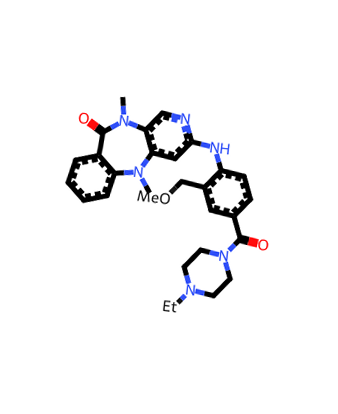 CCN1CCN(C(=O)c2ccc(Nc3cc4c(cn3)N(C)C(=O)c3ccccc3N4C)c(COC)c2)CC1